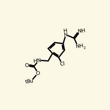 CC(C)(C)OC(=O)NCc1ccc(NC(=N)N)cc1Cl